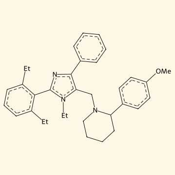 CCc1cccc(CC)c1-c1nc(-c2ccccc2)c(CN2CCCCC2c2ccc(OC)cc2)n1CC